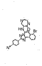 N#Cc1ccc(-c2nc3c4cccc(Br)c4nc(Nc4cnccnc4=O)n3n2)cc1